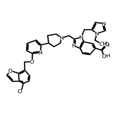 CCn1cncc1Cn1c(CN2CCC(c3cccc(OCc4ccc(Cl)c5ccoc45)n3)CC2)nc2ccc(C(=O)O)cc21